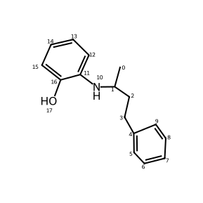 CC(CCc1ccccc1)Nc1ccccc1O